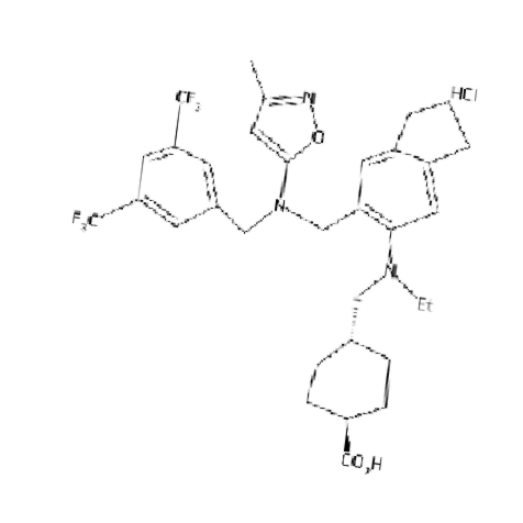 CCN(C[C@H]1CC[C@H](C(=O)O)CC1)c1cc2c(cc1CN(Cc1cc(C(F)(F)F)cc(C(F)(F)F)c1)c1cc(C)no1)CCC2.Cl